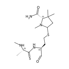 CN[C@@H](C)C(=S)N[C@H](C=O)CCSC1CC(C)(C)[C@@H](C(N)=O)N1C